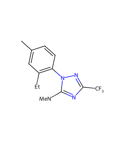 CCc1cc(C)ccc1-n1nc(C(F)(F)F)nc1NC